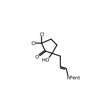 CCCCCC=CCC1(O)CCC(Cl)(Cl)C1=O